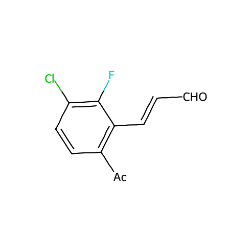 CC(=O)c1ccc(Cl)c(F)c1/C=C/C=O